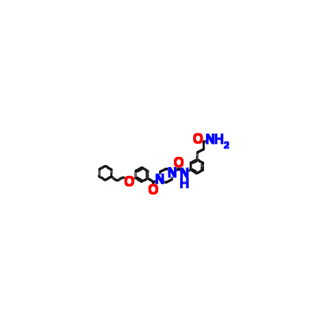 NC(=O)CCc1cccc(NC(=O)N2CCN(C(=O)c3cccc(OCCC4CCCCC4)c3)CC2)c1